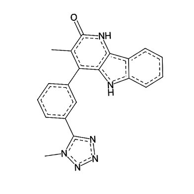 Cc1c(-c2cccc(-c3nnnn3C)c2)c2[nH]c3ccccc3c2[nH]c1=O